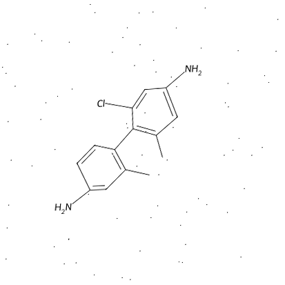 Cc1cc(N)ccc1-c1c(C)cc(N)cc1Cl